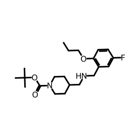 CCCOc1ccc(F)cc1CNCC1CCN(C(=O)OC(C)(C)C)CC1